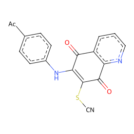 CC(=O)c1ccc(NC2=C(SC#N)C(=O)c3ncccc3C2=O)cc1